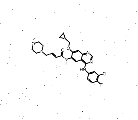 O=C(C=CCN1CCOCC1)Nc1cc2c(Nc3ccc(F)c(Cl)c3)ncnc2cc1OCC1CC1